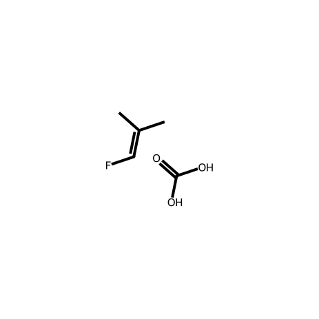 CC(C)=CF.O=C(O)O